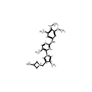 COc1cc(Nc2ncc(C)c(-n3cc(C)c(CN4CC(O)C4)c3)n2)cc(C)c1OC